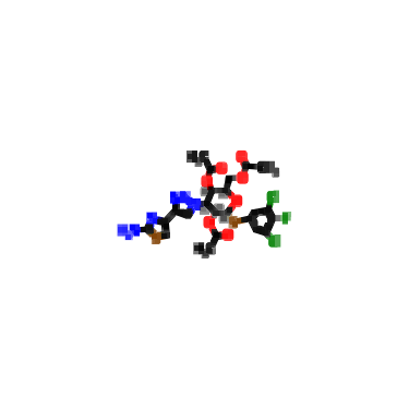 CC(=O)OC[C@H]1O[C@H](Sc2cc(Cl)c(F)c(Cl)c2)[C@H](OC(C)=O)[C@@H](n2cc(-c3csc(N)n3)nn2)[C@H]1OC(C)=O